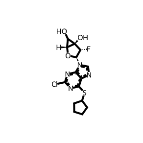 OC1[C@H]2O[C@@H](n3cnc4c(SC5CCCC5)nc(Cl)nc43)[C@@H](F)[C@@]12O